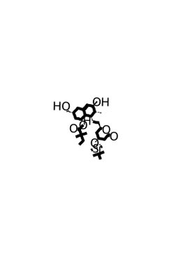 CCC(C)(C)C(=O)O[C@H]1C[C@H](CO)CC2=C[C@@H](O)[C@H](C)[C@H](CC[C@@H]3C[C@@H](O[Si](C)(C)C(C)(C)C)CC(=O)O3)[C@@H]21